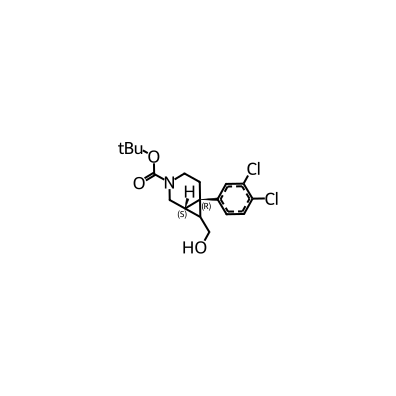 CC(C)(C)OC(=O)N1CC[C@]2(c3ccc(Cl)c(Cl)c3)C(CO)[C@@H]2C1